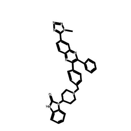 Cn1nnnc1-c1ccc2nc(-c3ccc(CN4CCC(n5c(=O)[nH]c6ccccc65)CC4)cc3)c(-c3ccccc3)nc2c1